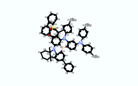 CC(C)(C)c1ccc(N(c2ccc(C(C)(C)C)cc2)c2ccc3c(c2)N(c2ccc(C(C)(C)C)cc2-c2ccccc2)c2cc(-c4cccc5c4sc4ccccc45)cc4c2B3c2cc(-c3ccccc3)cc3c2N4C2(C)CCCCC32C)cc1